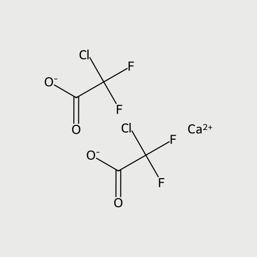 O=C([O-])C(F)(F)Cl.O=C([O-])C(F)(F)Cl.[Ca+2]